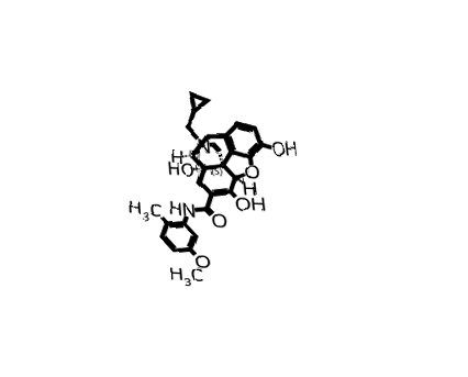 COc1ccc(C)c(NC(=O)C2=C(O)[C@@H]3Oc4c(O)ccc5c4[C@@]34CCN(CC3CC3)[C@H](C5)[C@]4(O)C2)c1